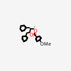 COc1ccc(CO[C@@H](C)[C@H](Cc2ccccc2)C(O)Cc2ccccc2)cc1